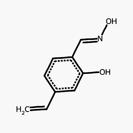 C=Cc1ccc(C=NO)c(O)c1